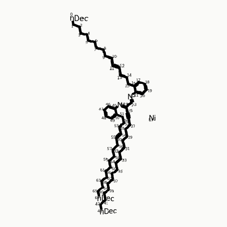 CCCCCCCCCCCCCCCCCCCCC=CCCCc1ccccc1N=CC(C#CCCCCCCCCCCCCCCCCCCCCCCCCCC)=Nc1ccccc1CCCC=CCCCCCCCCCCCCCCCCCCCC.[Ni]